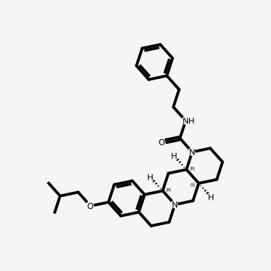 CC(C)COc1ccc2c(c1)CCN1C[C@@H]3CCCN(C(=O)NCCc4ccccc4)[C@@H]3C[C@H]21